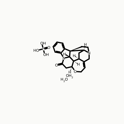 O.O.O=C1C[C@@H]2OCC=C3CN4CC[C@]56c7ccccc7N1[C@H]5[C@H]2[C@H]3C[C@H]46.O=P(O)(O)O